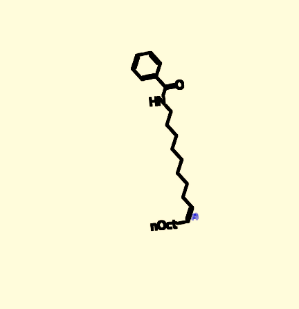 CCCCCCCC/C=C\CCCCCCCCNC(=O)c1ccccc1